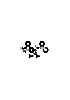 CC(C)CN(CC(C)C)c1ccc(-c2ccccc2-c2nnn[nH]2)cc1NC(=O)Nc1ccccc1N1CCCCC1